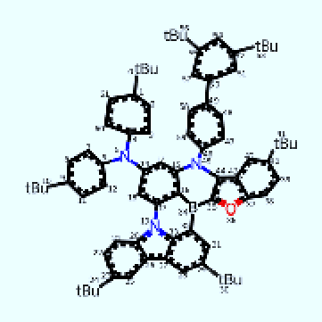 CC(C)(C)c1ccc(N(c2ccc(C(C)(C)C)cc2)c2cc3c4c(c2)-n2c5ccc(C(C)(C)C)cc5c5cc(C(C)(C)C)cc(c52)B4c2oc4ccc(C(C)(C)C)cc4c2N3c2ccc(-c3cc(C(C)(C)C)cc(C(C)(C)C)c3)cc2)cc1